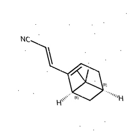 CC1(C)[C@H]2CC=C(C=CC#N)[C@@H]1C2